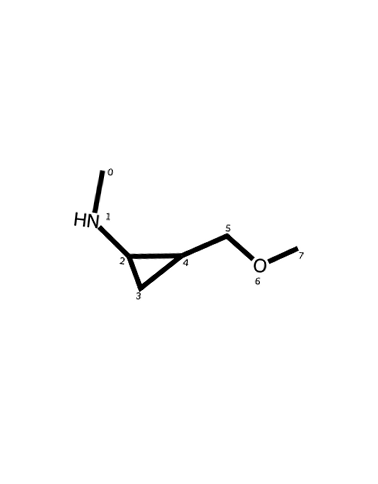 CNC1CC1COC